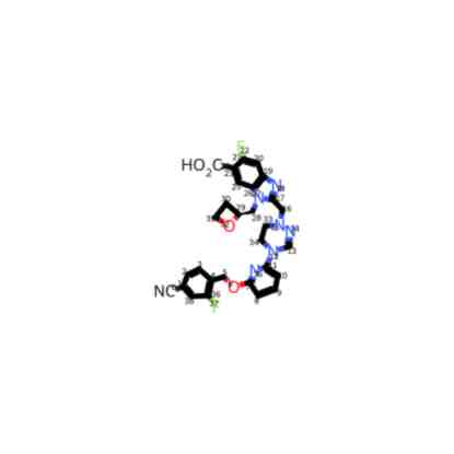 N#Cc1ccc(COc2cccc(N3C=NN(Cc4nc5cc(F)c(C(=O)O)cc5n4C[C@@H]4CCO4)CC3)n2)c(F)c1